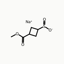 COC(=O)C1CC(S(=O)[O-])C1.[Na+]